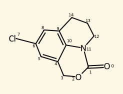 O=C1OCc2cc(Cl)cc3c2N1CCC3